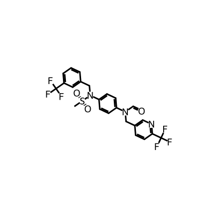 CS(=O)(=O)N(Cc1cccc(C(F)(F)F)c1)c1ccc(N(C=O)Cc2ccc(C(F)(F)F)nc2)cc1